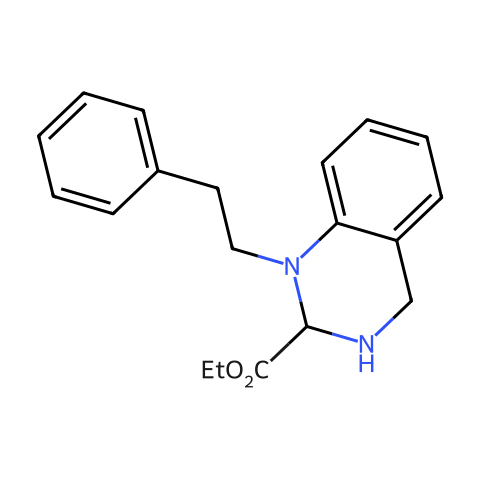 CCOC(=O)C1NCc2ccccc2N1CCc1ccccc1